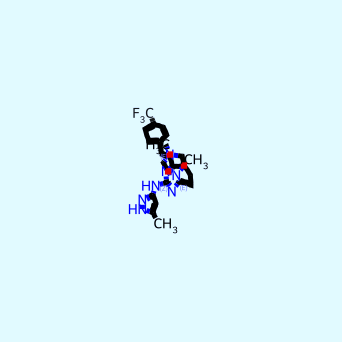 Cc1cc(NC2=N/C(N3CCN(C)CC3)=C/CC(C)C(/C=C/c3ccc(C(F)(F)F)cc3)=N\2)n[nH]1